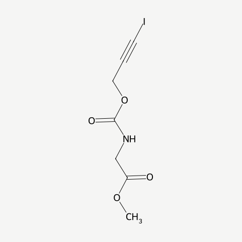 COC(=O)CNC(=O)OCC#CI